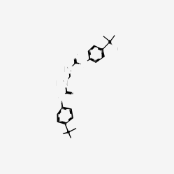 CCC(C)(C)c1ccc(OC(=O)NCNC(=O)Oc2ccc(C(C)(C)CC)cc2)cc1